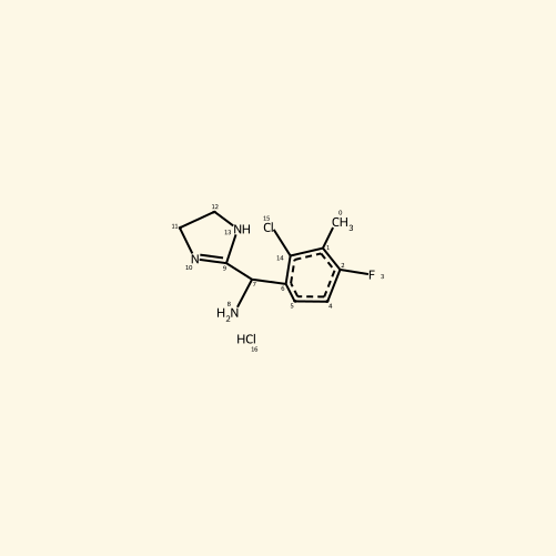 Cc1c(F)ccc(C(N)C2=NCCN2)c1Cl.Cl